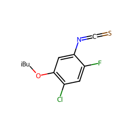 CCC(C)Oc1cc(N=C=S)c(F)cc1Cl